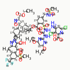 CCOC(=O)C1=NOC(c2ccccc2)(c2ccccc2)C1.COC(=O)c1ccc(CNS(C)(=O)=O)cc1S(=O)(=O)NC(=O)Nc1nc(OC)cc(OC)n1.Cc1nn(C)c(O)c1C(=O)c1ccc(C(F)(F)F)cc1S(C)(=O)=O.Nc1cc(Cl)nc(C(=O)O)c1Cl